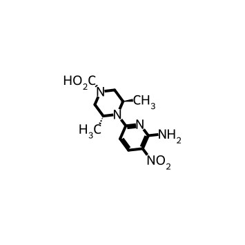 C[C@@H]1CN(C(=O)O)C[C@@H](C)N1c1ccc([N+](=O)[O-])c(N)n1